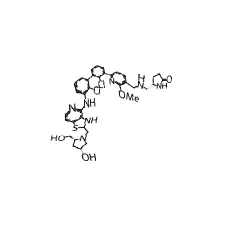 COc1nc(-c2cccc(-c3cccc(Nc4nccc5c4NC(CN4C[C@H](O)C[C@H]4CO)S5)c3Cl)c2Cl)ccc1CNC[C@@H]1CCC(=O)N1